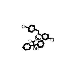 O=C(NC[C@H](Cc1ccc(Cl)cc1)c1ccc(Cl)cc1)C(O)(c1ccccc1)c1ccccc1